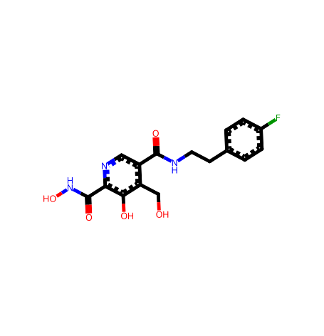 O=C(NCCc1ccc(F)cc1)c1cnc(C(=O)NO)c(O)c1CO